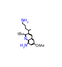 COc1cc(N)c2nc(C(C)(C)C)c(C(C)CCCN)cc2c1